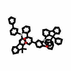 CC1(C)c2ccccc2-c2cc(N(c3cccc(-c4ccccc4)c3)c3ccccc3-c3cccc(-c4ccc5c6ccccc6n(-c6cccc7c6C(c6ccccc6)(c6ccccc6)c6ccccc6-7)c5c4)c3)ccc21